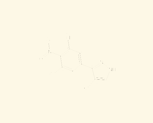 O=[N+]([O-])c1c(Cl)cc(-c2n[nH]cc2Cl)cc1Cl